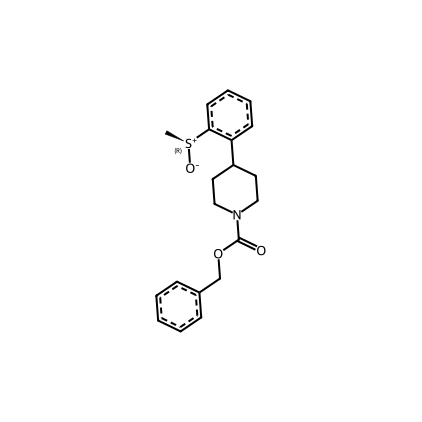 C[S@+]([O-])c1ccccc1C1CCN(C(=O)OCc2ccccc2)CC1